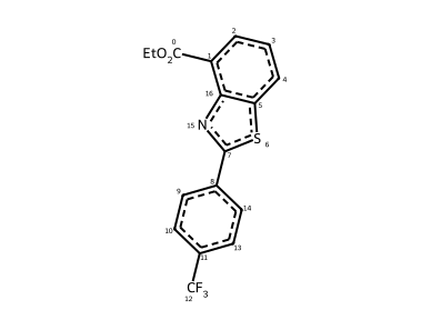 CCOC(=O)c1cccc2sc(-c3ccc(C(F)(F)F)cc3)nc12